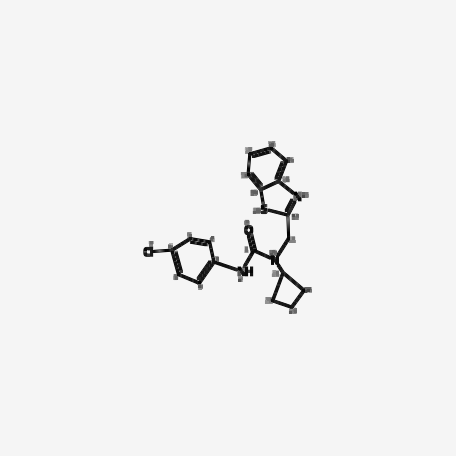 O=C(Nc1ccc(Cl)cc1)N(Cc1nc2ccccc2s1)C1CCC1